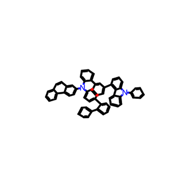 c1ccc(-c2ccccc2-c2ccc(N(c3ccc4c(ccc5ccccc54)c3)c3ccccc3-c3cccc(-c4cccc5c4c4ccccc4n5-c4ccccc4)c3)cc2)cc1